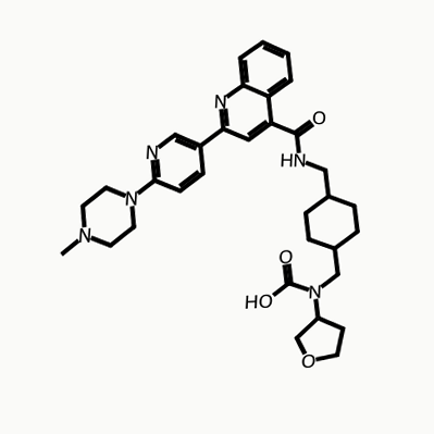 CN1CCN(c2ccc(-c3cc(C(=O)NCC4CCC(CN(C(=O)O)C5CCOC5)CC4)c4ccccc4n3)cn2)CC1